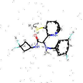 CSc1cccnc1C(C(=O)NC1CC(F)(F)C1)N(C)c1cc(F)cc(F)c1